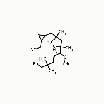 CCCCOC(CCC(C)(C)CC(C)(C)C)C(C)(C)CC(C)(C)CC1CC1CC#N